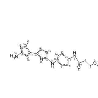 COCCC(=O)Nc1ccc(Nc2nc(-c3sc(N)nc3C)cs2)cc1